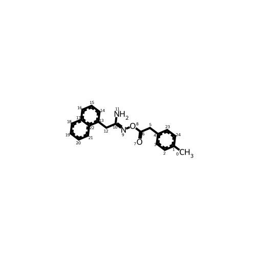 Cc1ccc(CC(=O)O/N=C(\N)Cc2cccc3ccccc23)cc1